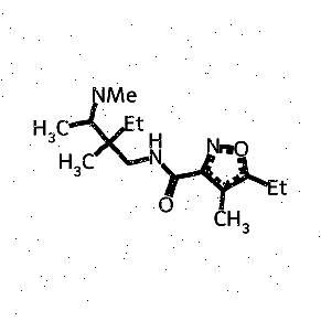 CCc1onc(C(=O)NCC(C)(CC)C(C)NC)c1C